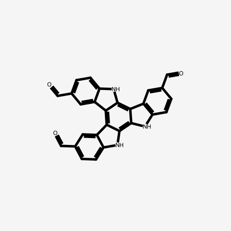 O=Cc1ccc2[nH]c3c4[nH]c5ccc(C=O)cc5c4c4c5cc(C=O)ccc5[nH]c4c3c2c1